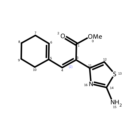 COC(=O)/C(=C\C1=CCCCC1)c1csc(N)n1